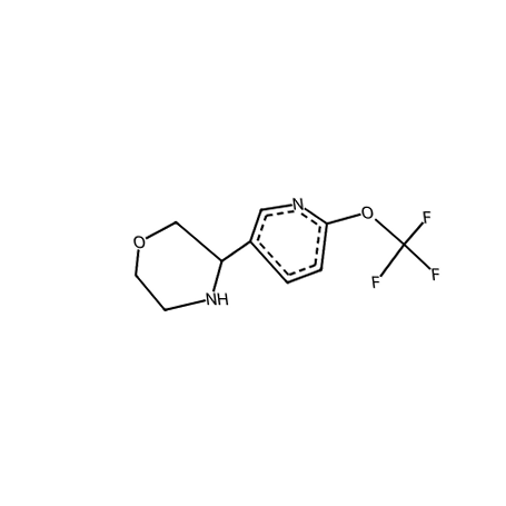 FC(F)(F)Oc1ccc(C2COCCN2)cn1